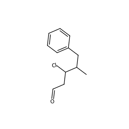 CC(Cc1ccccc1)C(Cl)CC=O